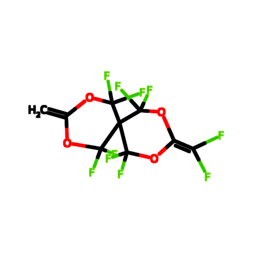 C=C1OC(F)(F)C2(C(F)(F)O1)C(F)(F)OC(=C(F)F)OC2(F)F